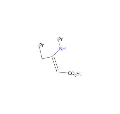 CCOC(=O)/C=C(/CC(C)C)NC(C)C